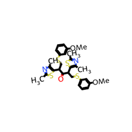 COc1cccc(SCC(C(=O)C(CSc2cccc(OC)c2)c2sc(C)nc2C)c2sc(C)nc2C)c1